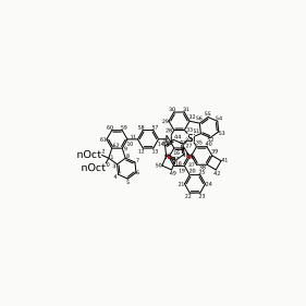 CCCCCCCCC1(CCCCCCCC)c2ccccc2-c2c(-c3ccc(N(c4ccc(-c5ccccc5)cc4)c4cccc5c4[Si](c4ccc6c(c4)CC6)(c4ccc6c(c4)CC6)c4ccccc4-5)cc3)cccc21